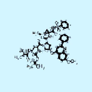 C=C[C@@H]1C[C@]1(NC(=O)[C@@H]1C[C@@H](Oc2cc(-c3ccccc3)nc3cc(OC)ccc23)CN1C(=O)[C@H](CCNC(=O)C(C)Br)NC(=O)OC(C)(C)C)C(=O)NS(=O)(=O)c1ccccc1